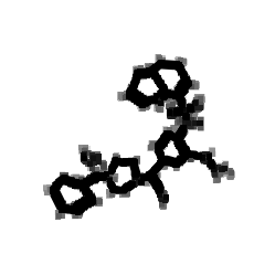 COc1cc(C(=O)N2CCN([C@@H](C)c3ccccc3)CC2)ccc1NS(=O)(=O)c1cccc2cccnc12